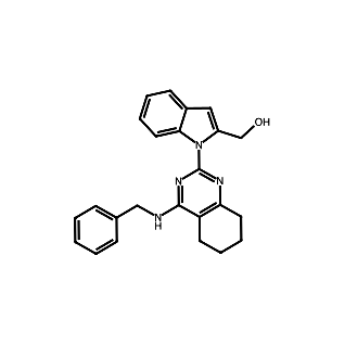 OCc1cc2ccccc2n1-c1nc2c(c(NCc3ccccc3)n1)CCCC2